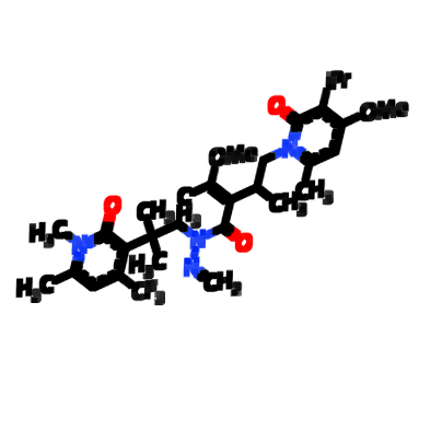 C=NN(CC(C)(C)c1c(C(F)(F)F)cc(C)n(C)c1=O)C(=O)/C(=C(\C)OC)C(C)Cn1c(C)cc(OC)c(C(C)C)c1=O